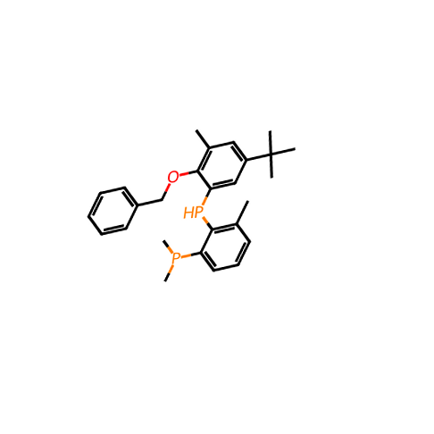 Cc1cc(C(C)(C)C)cc(Pc2c(C)cccc2P(C)C)c1OCc1ccccc1